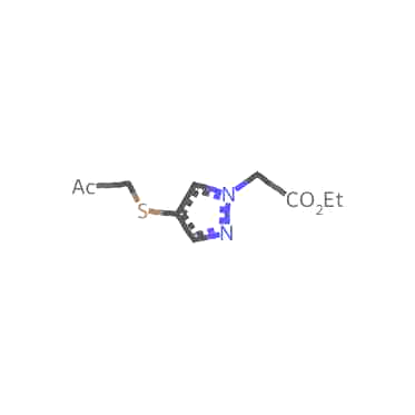 CCOC(=O)Cn1cc(SCC(C)=O)cn1